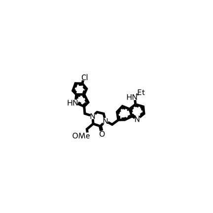 CCNc1ccnc2cc(CN3CCN(Cc4cc5cc(Cl)ccc5[nH]4)C(COC)C3=O)ccc12